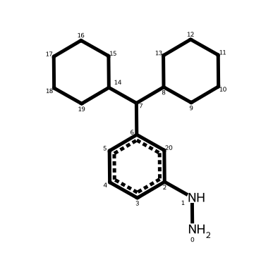 NNc1cccc(C(C2CCCCC2)C2CCCCC2)c1